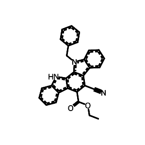 CCOC(=O)c1c(C#N)c2c3ccccc3n(Cc3ccccc3)c2c2[nH]c3ccccc3c12